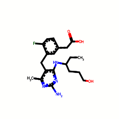 CCC(CCCO)Nc1nc(N)nc(C)c1Cc1cc(CC(=O)O)ccc1F